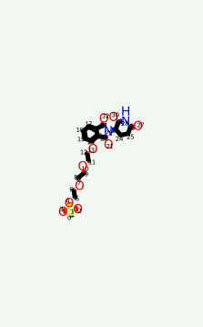 CS(=O)(=O)OCCOCCOCCOc1cccc2c1C(=O)N(C1CCC(=O)NC1=O)C2=O